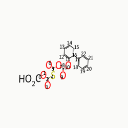 O=C(O)OC(=O)SC(=O)OC(=O)Oc1ccccc1-c1ccccc1